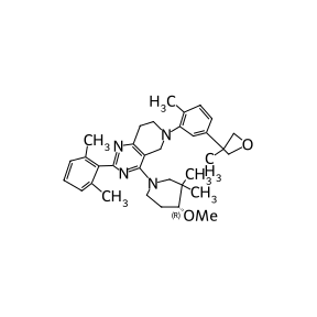 CO[C@@H]1CCN(c2nc(-c3c(C)cccc3C)nc3c2CN(c2cc(C4(C)COC4)ccc2C)CC3)CC1(C)C